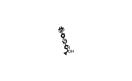 CC1(C)OB(c2ccc(N3CCN(c4ccc(C(O)C5CC5)nc4)CC3)cc2)OC1(C)C